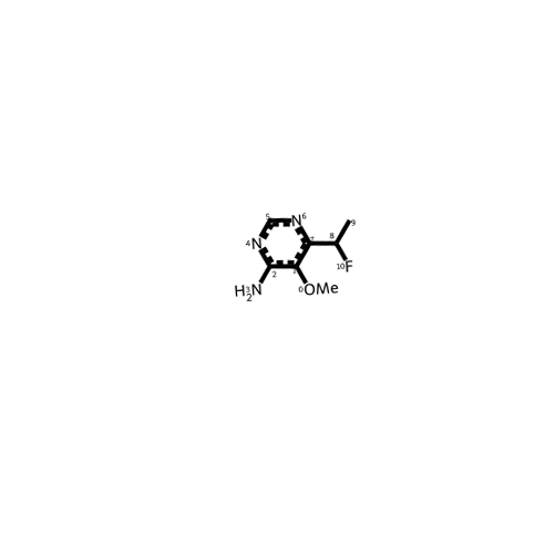 COc1c(N)ncnc1C(C)F